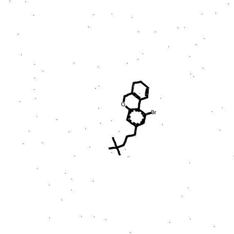 CC(C)(C)CCCc1cc(Br)c2c(c1)OCC1=C2C=CCC1